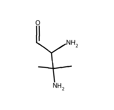 CC(C)(N)C(N)C=O